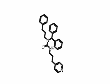 O=C(NCCCc1ccncc1)N(CCCc1ccccc1)C(c1ccccc1)c1ccccc1